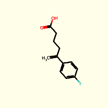 C=C(CCCC(=O)O)c1ccc(F)cc1